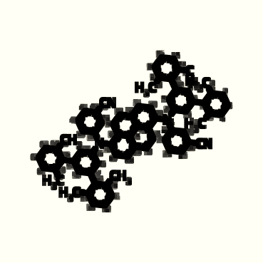 Cc1cccc(C)c1-c1cc(-c2c(C)cccc2C)cc(N(c2cccc(C#N)c2)c2ccc3ccc4c(N(c5cccc(C#N)c5)c5cc(-c6c(C)cccc6C)cc(-c6c(C)cccc6C)c5)ccc5ccc2c3c54)c1